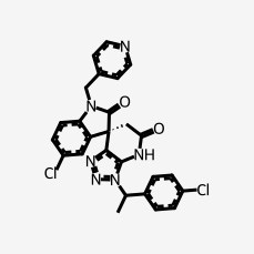 CC(c1ccc(Cl)cc1)n1nnc2c1NC(=O)C[C@]21C(=O)N(Cc2ccncc2)c2ccc(Cl)cc21